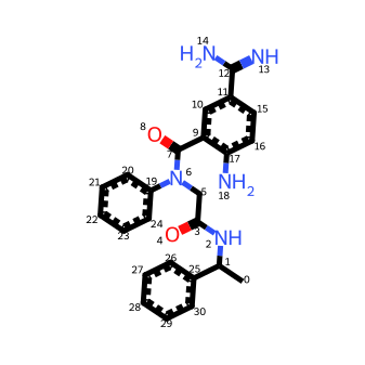 CC(NC(=O)CN(C(=O)c1cc(C(=N)N)ccc1N)c1ccccc1)c1ccccc1